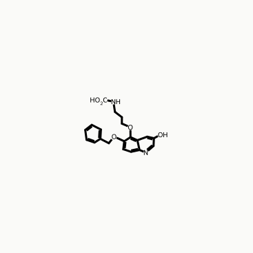 O=C(O)NCCCOc1c(OCc2ccccc2)ccc2ncc(O)cc12